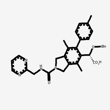 Cc1ccc(-c2c(C)c3c(c(C)c2[C@H](OC(C)(C)C)C(=O)O)CN(C(=O)NCc2ncccn2)C3)cc1